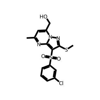 CSc1nn2c(CO)cc(C)nc2c1S(=O)(=O)c1cccc(Cl)c1